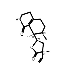 C=C[C@]1(C)C[C@H]([C@@]2(C)C3=C(CCNC3=O)CC[C@H]2C)OC1=O